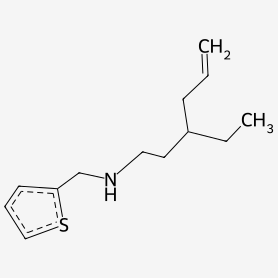 C=CCC(CC)CCNCc1cccs1